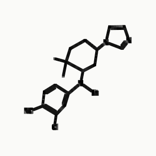 CCN(c1ccc(C#N)c(Cl)c1)C1CC(n2ccnc2)CCC1(C)C